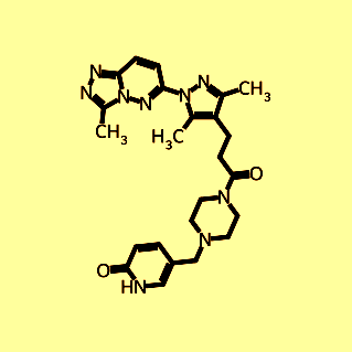 Cc1nn(-c2ccc3nnc(C)n3n2)c(C)c1CCC(=O)N1CCN(Cc2ccc(=O)[nH]c2)CC1